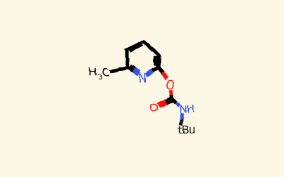 Cc1cccc(OC(=O)NC(C)(C)C)n1